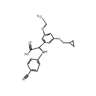 CCOc1cc(OCC2CC2)cc(C(Nc2ccc(C#N)cc2)C(=O)O)c1